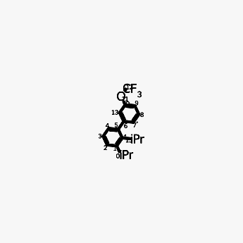 CC(C)c1cccc(-c2[c]ccc(OC(F)(F)F)c2)c1C(C)C